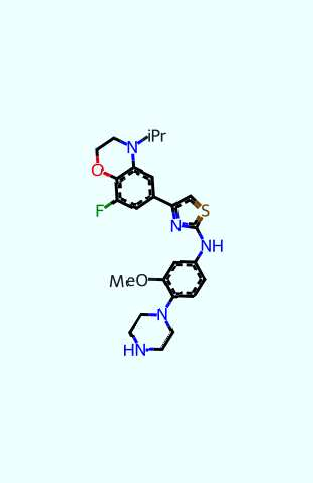 COc1cc(Nc2nc(-c3cc(F)c4c(c3)N(C(C)C)CCO4)cs2)ccc1N1CCNCC1